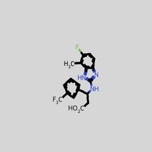 Cc1c(F)ccc2nc(NC(CC(=O)O)c3cccc(C(F)(F)F)c3)[nH]c12